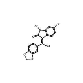 CC(=O)N1C(=O)/C(=C(/O)c2ccc3c(c2)OCO3)c2ccc(Br)cc21